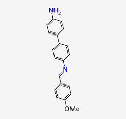 COc1ccc(C=Nc2ccc(-c3ccc(N)cc3)cc2)cc1